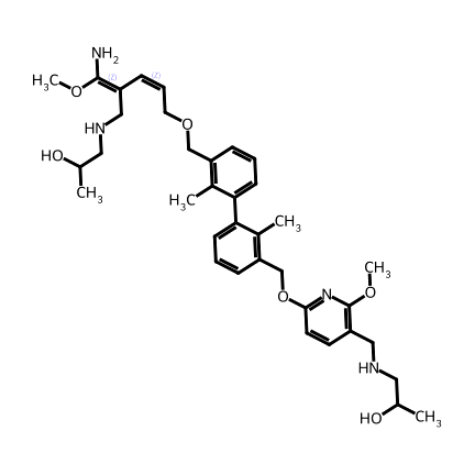 CO/C(N)=C(/C=C\COCc1cccc(-c2cccc(COc3ccc(CNCC(C)O)c(OC)n3)c2C)c1C)CNCC(C)O